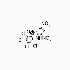 O=[N+]([O-])c1cc([N+](=O)[O-])c(Nc2c(Cl)c(Cl)c(Cl)c(Cl)c2Cl)c([N+](=O)[O-])c1